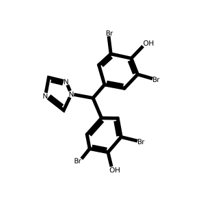 Oc1c(Br)cc(C(c2cc(Br)c(O)c(Br)c2)n2cncn2)cc1Br